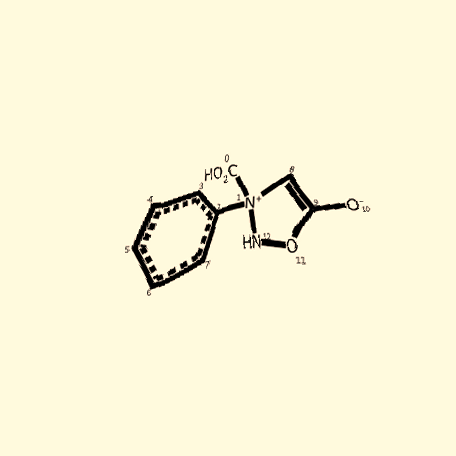 O=C(O)[N+]1(c2ccccc2)C=C([O-])ON1